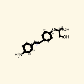 Nc1ccc(/C=C/c2ccc(OC(CO)CO)cc2)cc1